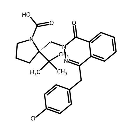 CC(C)(C)[C@@]1(Cn2nc(Cc3ccc(Cl)cc3)c3ccccc3c2=O)CCCN1C(=O)O